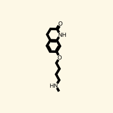 CNCCCCOc1ccc2c(c1)NC(=O)CC2